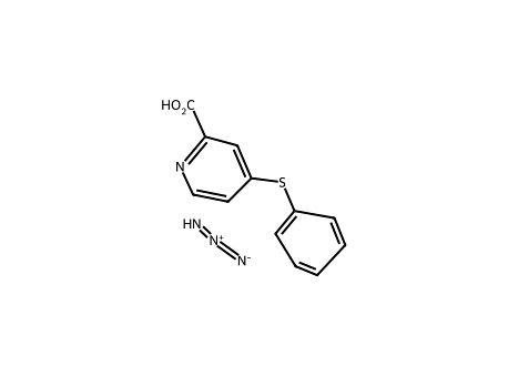 O=C(O)c1cc(Sc2ccccc2)ccn1.[N-]=[N+]=N